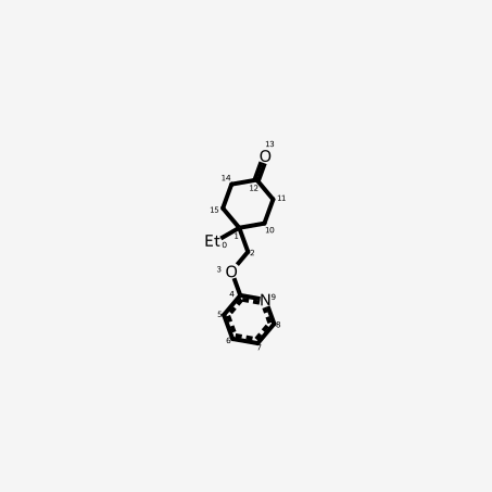 CCC1(COc2ccccn2)CCC(=O)CC1